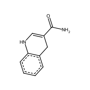 NC(=O)C1=CNc2ccccc2C1